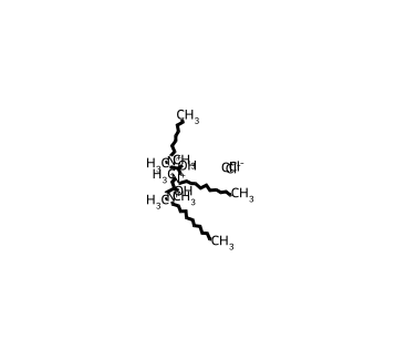 CCCCCCCCCCCC[N+](C)(C)CC(O)C[N+](C)(CCCCCCCCCCCC)CC(O)C[N+](C)(C)CCCCCCCCC.[Cl-].[Cl-].[Cl-]